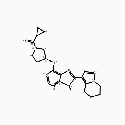 CCn1c(-c2cnn3c2CCCC3)nc2c(O[C@H]3CCN(C(=O)C4CC4)C3)ncnc21